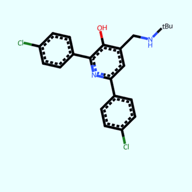 CC(C)(C)NCc1cc(-c2ccc(Cl)cc2)nc(-c2ccc(Cl)cc2)c1O